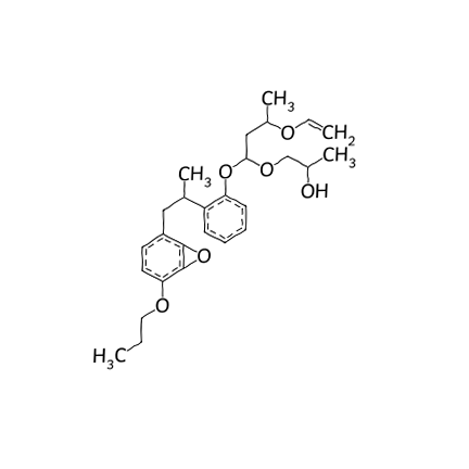 C=COC(C)CC(OCC(C)O)Oc1ccccc1C(C)Cc1ccc(OCCC)c2c1O2